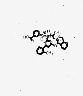 Cc1ccccc1-c1cc(O[C@@H]2c3ccccc3CN[C@@H]2CC(C)C)nc(NS(=O)(=O)c2cccc(C(=O)O)c2)n1